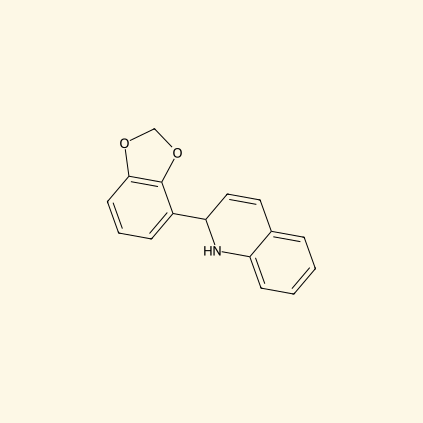 C1=CC(c2cccc3c2OCO3)Nc2ccccc21